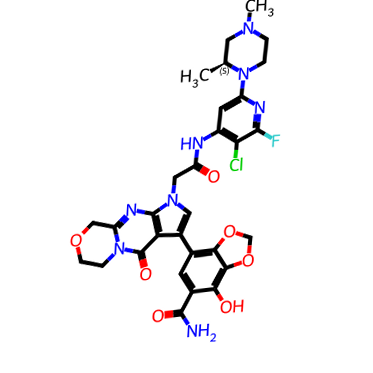 C[C@H]1CN(C)CCN1c1cc(NC(=O)Cn2cc(-c3cc(C(N)=O)c(O)c4c3OCO4)c3c(=O)n4c(nc32)COCC4)c(Cl)c(F)n1